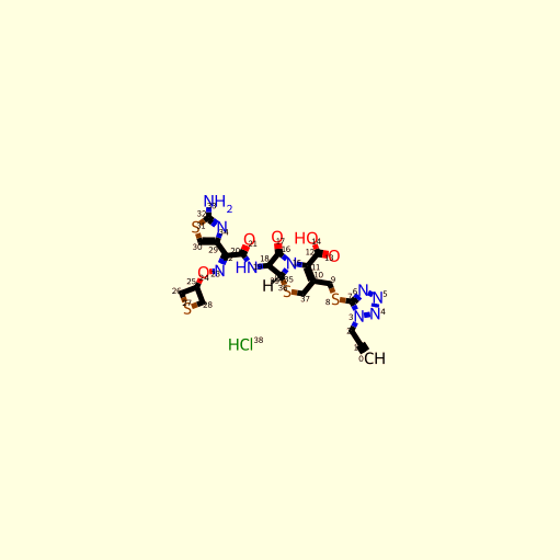 C#CCn1nnnc1SCC1=C(C(=O)O)N2C(=O)C(NC(=O)C(=NOC3CSC3)c3csc(N)n3)[C@@H]2SC1.Cl